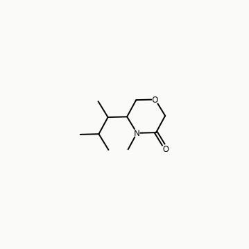 CC(C)C(C)C1COCC(=O)N1C